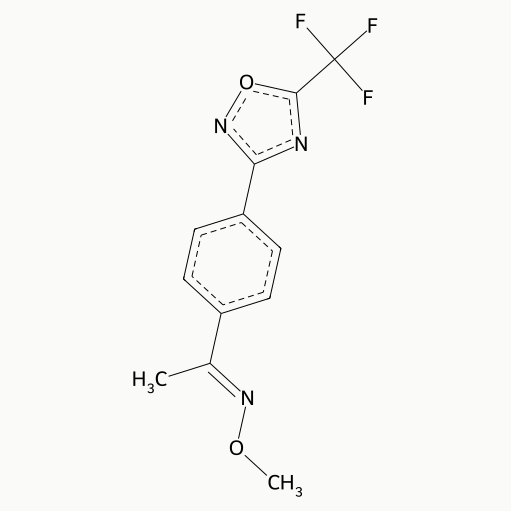 CON=C(C)c1ccc(-c2noc(C(F)(F)F)n2)cc1